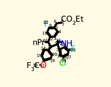 CCCC(c1ccc(CCC(=O)OCC)c(F)c1)C(c1ccc(OC(F)(F)F)cc1)c1c[nH]c2c(F)cc(Cl)cc12